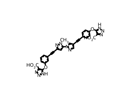 Cn1nc(C#Cc2cccc(Oc3[nH]nnc3C(=O)O)c2)cc1-n1cc(C#Cc2ccc(Oc3[nH]nnc3C(=O)O)cc2)cn1